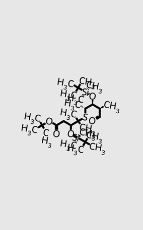 C[C@@H](C=O)[C@H](O[Si](C)(C)C(C)(C)C)[C@@H](C)SC(C)(C)C(CC(=O)OC(C)(C)C)O[Si](C)(C)C(C)(C)C